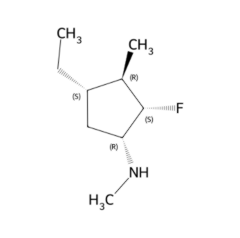 CC[C@H]1C[C@@H](NC)[C@@H](F)[C@@H]1C